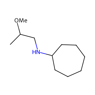 COC(C)CNC1CCCCCC1